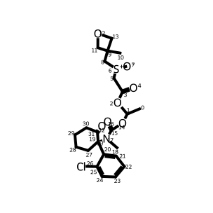 CC(OC(=O)C[S+]([O-])CC1(C)COC1)OC(=O)N(C)[C@]1(c2ccccc2Cl)CCCCC1=O